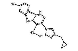 CC(C)Nc1c(-c2cn(CC3CC3)nn2)c[nH]c2c3ccc(C#N)cc3nc1-2